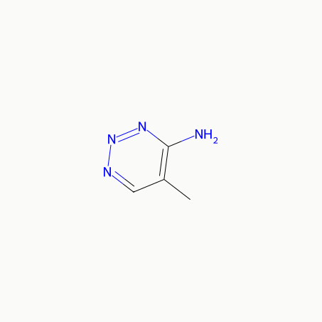 Cc1cnnnc1N